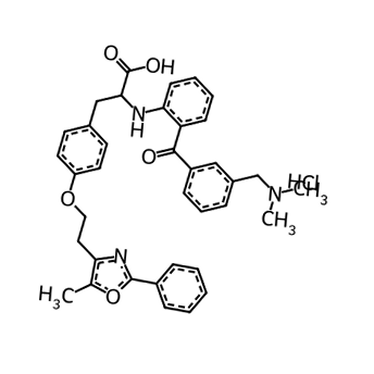 Cc1oc(-c2ccccc2)nc1CCOc1ccc(CC(Nc2ccccc2C(=O)c2cccc(CN(C)C)c2)C(=O)O)cc1.Cl